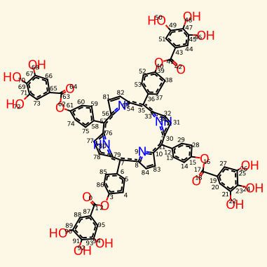 O=C(Oc1ccc(-c2c3nc(c(-c4ccc(OC(=O)c5cc(O)c(O)c(O)c5)cc4)c4ccc([nH]4)c(-c4ccc(OC(=O)c5cc(O)c(O)c(O)c5)cc4)c4nc(c(-c5ccc(OC(=O)c6cc(O)c(O)c(O)c6)cc5)c5ccc2[nH]5)C=C4)C=C3)cc1)c1cc(O)c(O)c(O)c1